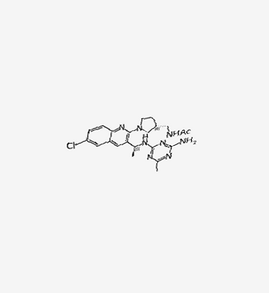 CC(=O)NC[C@H]1CCN(c2nc3ccc(Cl)cc3cc2[C@H](C)Nc2nc(C)nc(N)n2)C1